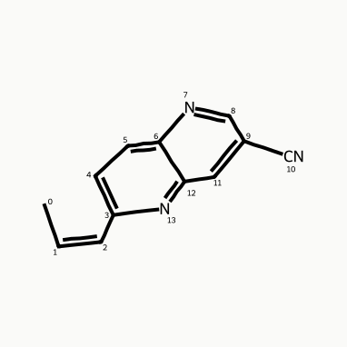 C/C=C\c1ccc2ncc(C#N)cc2n1